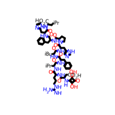 CCC(C)C(NC(=O)C(Cc1ccc(O)cc1)NC(=O)C(NC(=O)C(CCCNC(=N)N)NC(=O)C(CC(=O)O)Nc1c(O)c(=O)c1=O)C(C)C)C(=O)NC(Cc1cnc[nH]1)C(=O)N1CCCC1C(=O)NC(Cc1ccccc1)C(=O)NC(Cc1ncc[nH]1)C(=O)NC(CC(C)C)C(=O)O